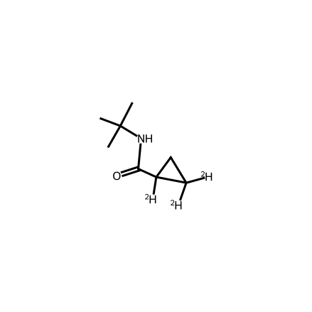 [2H]C1([2H])CC1([2H])C(=O)NC(C)(C)C